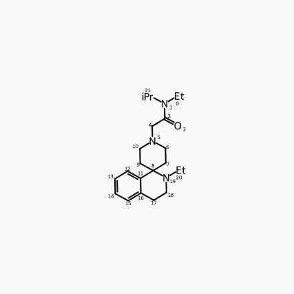 CCN(C(=O)CN1CCC2(CC1)c1ccccc1CCN2CC)C(C)C